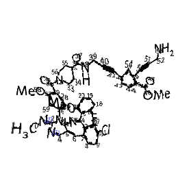 C/N=C(\N=C/C1=Cc2ccc(Cl)cc2C(c2c(F)cccc2OC)=NC1)Nc1ccc(C(=O)N2CCC(C(=O)NCC#Cc3ccc(C(=O)OC)c(C#CCN)c3)CC2)c(OC)c1